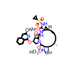 COc1cc2ccccc2c(O[C@@H]2C[C@H]3C(=O)N[C@]4(C(=O)NS(=O)(=O)C5CC5)C[C@H]4/C=C\CC[C@H](C)C[C@@H](C)[C@H](N(C(=O)O)C(C)(C)C)C(=O)N3C2)n1